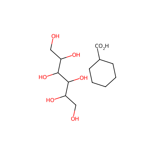 O=C(O)C1CCCCC1.OCC(O)C(O)C(O)C(O)CO